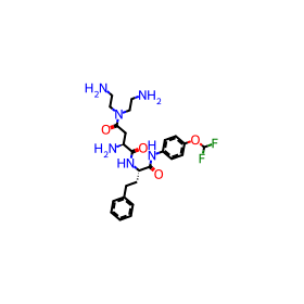 NCCN(CCN)C(=O)C[C@H](N)C(=O)N[C@@H](CCc1ccccc1)C(=O)Nc1ccc(OC(F)F)cc1